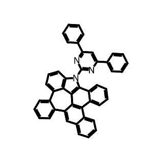 c1ccc(-c2cc(-c3ccccc3)nc(-n3c4cccc5c4c4c6c(cc7ccccc7c6c6ccccc6c43)-c3ccccc3-5)n2)cc1